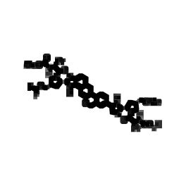 COC[C@H]1C[C@@H](c2ncc(-c3ccc4c(c3)COc3cc5c(ccc6nc([C@@H]7C[C@H](COC(F)F)CN7C(=O)[C@@H](NC(=O)OC)C(C)C)[nH]c65)cc3-4)[nH]2)N(C(=O)[C@@H](NC(=O)O)C(C)C)C1